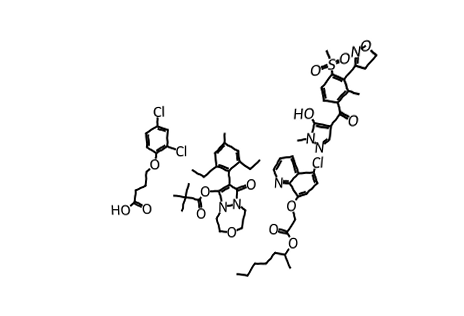 CCCCCC(C)OC(=O)COc1ccc(Cl)c2cccnc12.CCc1cc(C)cc(CC)c1-c1c(OC(=O)C(C)(C)C)n2n(c1=O)CCOCC2.Cc1c(C(=O)c2cnn(C)c2O)ccc(S(C)(=O)=O)c1C1=NOCC1.O=C(O)CCCOc1ccc(Cl)cc1Cl